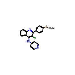 COSc1ccc(-c2nc3ccccc3c(Nc3ccncc3)c2F)cc1